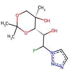 CC1(C)OC[C@@](C)(O)[C@H](C(O)C(F)n2ccnn2)O1